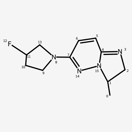 CC1CN=C2C=CC(N3CCC(F)C3)=NN21